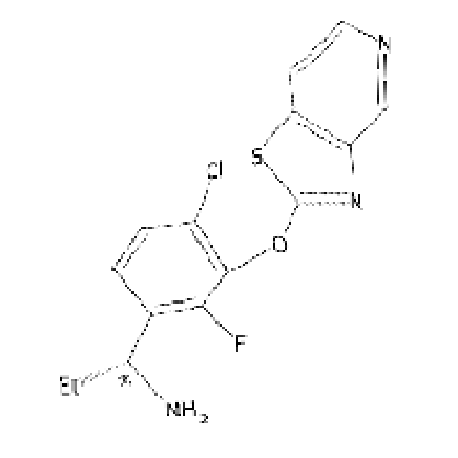 CC[C@@H](N)c1ccc(Cl)c(Oc2nc3cnccc3s2)c1F